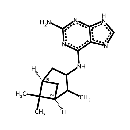 CC1C(Nc2nc(N)nc3[nH]cnc23)C[C@H]2C[C@@H]1C2(C)C